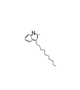 CCCCCCCCCCc1c[c]nc2ccccc12